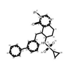 CC(C)n1cnc2c(c1=O)C(Cc1cccc(-c3ccccc3)c1)C(NS(=O)(=O)C1CC1)CC2